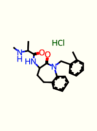 CNC(C)C(=O)NC1CCc2ccccc2N(Cc2ccccc2C)C1=O.Cl